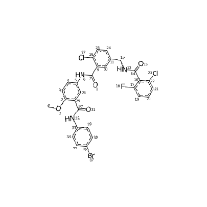 COc1ccc(NC(=O)c2cc(CNC(=O)c3c(F)cccc3Cl)ccc2Cl)cc1C(=O)Nc1ccc(Br)cc1